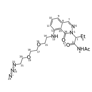 CCC(C(=O)NC(C)=O)n1ncc2cccc(NCCOCCOCCN=[N+]=[N-])c2c1=O